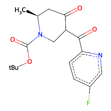 C[C@H]1CC(=O)C(C(=O)c2ccc(F)cn2)CN1C(=O)OC(C)(C)C